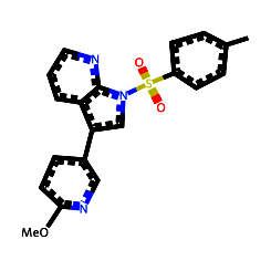 COc1ccc(-c2cn(S(=O)(=O)c3ccc(C)cc3)c3ncccc23)cn1